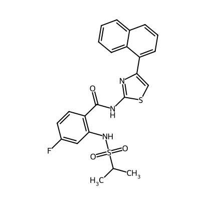 CC(C)S(=O)(=O)Nc1cc(F)ccc1C(=O)Nc1nc(-c2cccc3ccccc23)cs1